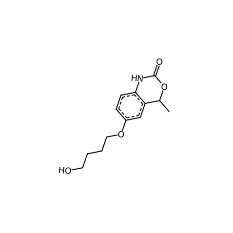 CC1OC(=O)Nc2ccc(OCCCCO)cc21